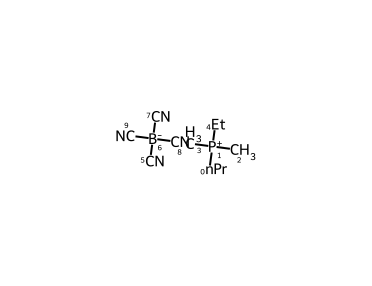 CCC[P+](C)(C)CC.N#C[B-](C#N)(C#N)C#N